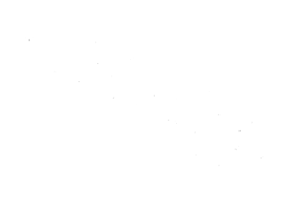 CCCc1ccc(C2CCC(CC(=O)c3ccc(OCC)c(C(F)(F)F)c3O)CC2)cc1